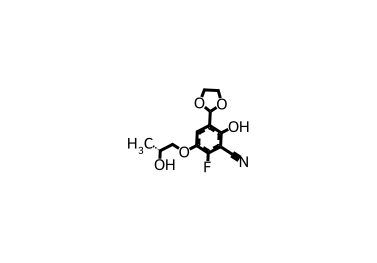 C[C@@H](O)COc1cc(C2OCCO2)c(O)c(C#N)c1F